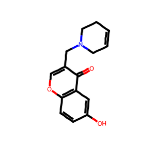 O=c1c(CN2CC=CCC2)coc2ccc(O)cc12